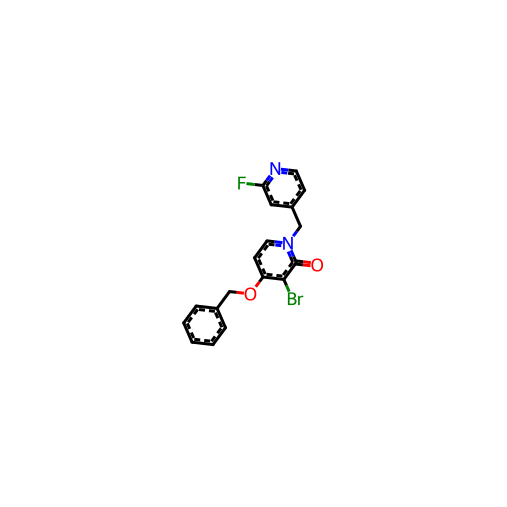 O=c1c(Br)c(OCc2ccccc2)ccn1Cc1ccnc(F)c1